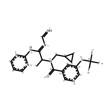 CC(/C(=N/C=N)Nc1ncccn1)N(CC1CC1)C(=O)c1cncc(SC(F)(F)F)c1